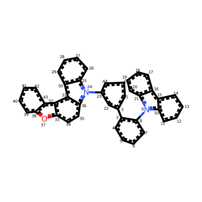 c1cc(-c2ccccc2-n2c3ccccc3c3ccccc32)cc(-n2c3ccccc3c3c4c(ccc32)oc2ccccc24)c1